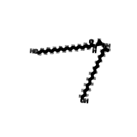 C=C(/C=C/CCCCCCCCCCCCCCCO)N[C@@H]1C[C@@H]1NC(=O)/C=C/CCCCCCCCCCCCCCCO